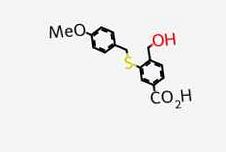 COc1ccc(CSc2cc(C(=O)O)ccc2CO)cc1